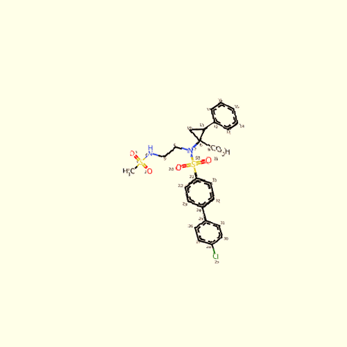 CS(=O)(=O)NCCN(C1(C(=O)O)CC1c1ccccc1)S(=O)(=O)c1ccc(-c2ccc(Cl)cc2)cc1